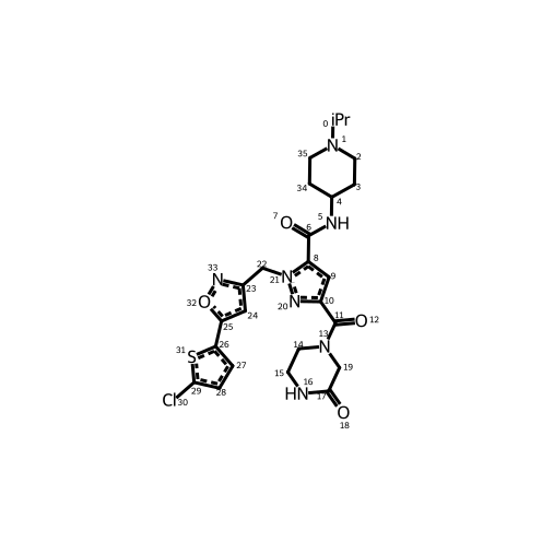 CC(C)N1CCC(NC(=O)c2cc(C(=O)N3CCNC(=O)C3)nn2Cc2cc(-c3ccc(Cl)s3)on2)CC1